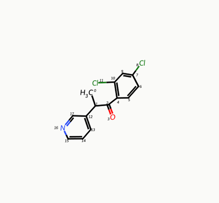 CC(C(=O)c1ccc(Cl)cc1Cl)c1cccnc1